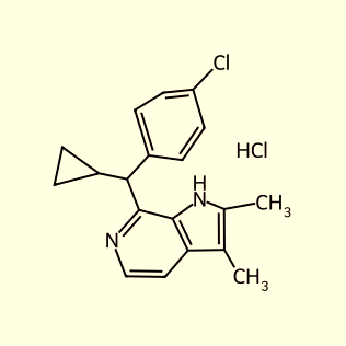 Cc1[nH]c2c(C(c3ccc(Cl)cc3)C3CC3)nccc2c1C.Cl